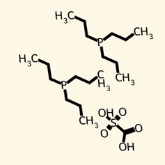 CCCP(CCC)CCC.CCCP(CCC)CCC.O=C(O)S(=O)(=O)O